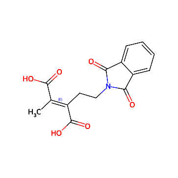 C/C(C(=O)O)=C(/CCN1C(=O)c2ccccc2C1=O)C(=O)O